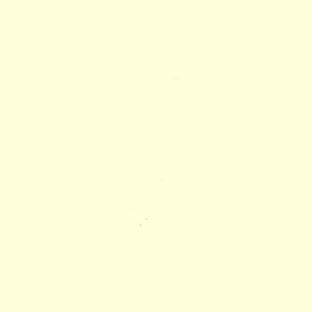 COc1ccc(CCCC(=O)c2ccc(CC[C@@](C)(N)CO)n2C)cc1C